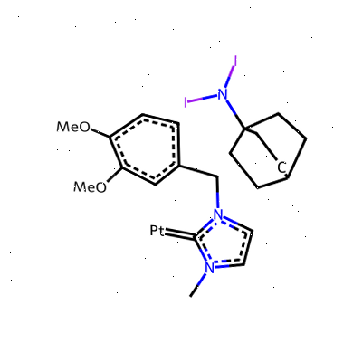 COc1ccc(Cn2ccn(C)[c]2=[Pt])cc1OC.IN(I)C12CCC(CC1)CC2